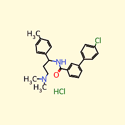 Cc1ccc(C(CCN(C)C)NC(=O)c2cccc(-c3ccc(Cl)cc3)c2)cc1.Cl